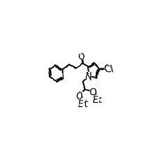 CCOC(Cn1cc(Cl)cc1C(=O)CCc1ccccc1)OCC